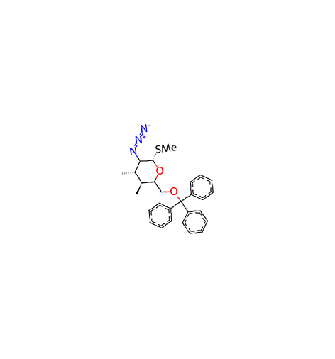 CS[C@@H]1OC(COC(c2ccccc2)(c2ccccc2)c2ccccc2)[C@@H](C)[C@H](C)C1N=[N+]=[N-]